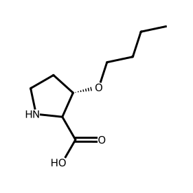 CCCCO[C@H]1CCNC1C(=O)O